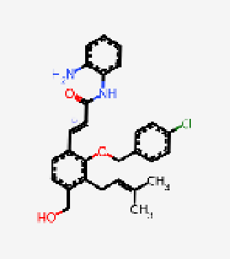 CC(C)=CCc1c(CO)ccc(/C=C/C(=O)Nc2ccccc2N)c1OCc1ccc(Cl)cc1